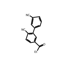 CCC(=O)c1ccc(C#N)c(-c2cccc(C#N)c2)c1